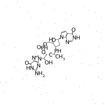 CC1C[C@H]([C@@H](O)n2cnc3c(=O)[nH]c(N)nc32)O[PH](=O)OC[C@H]2O[C@@H](n3ccc4c(=O)[nH]cnc43)CC2P1